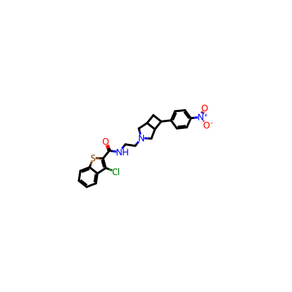 O=C(NCCN1CC2CC(c3ccc([N+](=O)[O-])cc3)C2C1)c1sc2ccccc2c1Cl